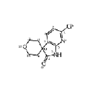 O=C1Nc2nc(Cl)ccc2C12CCOCC2